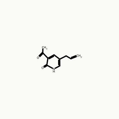 C=CCc1c[nH]c(=O)c(C(C)=O)c1